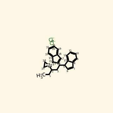 CC[CH](CCC1C=Cc2ccccc21)[Zr+2]1([CH]2C=Cc3ccccc32)[CH2][CH2]1.[Cl-].[Cl-]